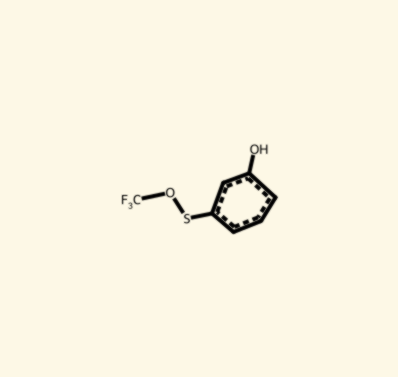 Oc1cccc(SOC(F)(F)F)c1